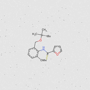 COc1cccc(CO[Si](C)(C)C(C)(C)C)c1NC(=S)c1ccco1